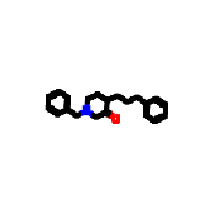 O=C1CN(Cc2ccccc2)CCC1CCCc1ccccc1